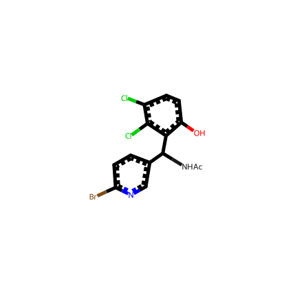 CC(=O)NC(c1ccc(Br)nc1)c1c(O)ccc(Cl)c1Cl